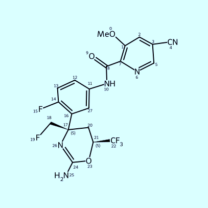 COc1cc(C#N)cnc1C(=O)Nc1ccc(F)c([C@]2(CF)C[C@@H](C(F)(F)F)OC(N)=N2)c1